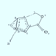 O=C1OCc2c1c1oc2cc1I